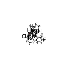 Fc1ccc([C@@H]2CCCCn3nc(N[C@H]4[C@@H]5CC[C@H]4CN(c4cc(Cl)ncn4)C5)nc32)c(F)c1F